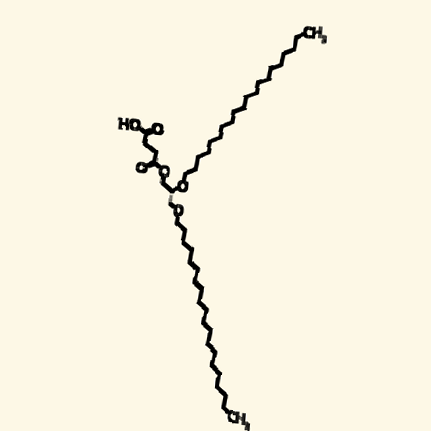 CCCCCCCCCCCCCCCCCCCCOC[C@H](COC(=O)CCC(=O)O)OCCCCCCCCCCCCCCCCCCCC